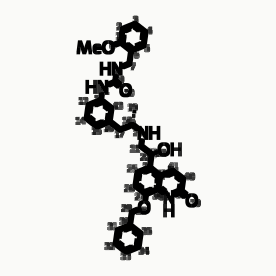 COc1ccccc1CNC(=O)Nc1cccc(C[C@H](C)NC[C@@H](O)c2ccc(OCc3ccccc3)c3[nH]c(=O)ccc23)c1